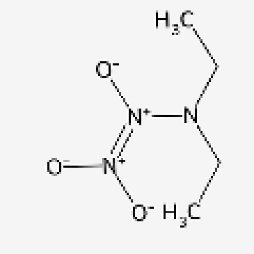 CCN(CC)[N+]([O-])=[N+]([O-])[O-]